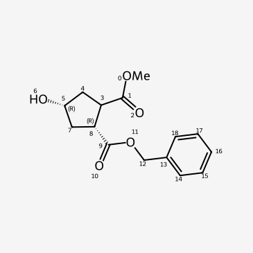 COC(=O)C1C[C@@H](O)C[C@H]1C(=O)OCc1ccccc1